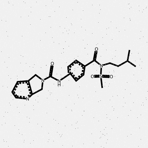 CC(C)CCN(C(=O)c1ccc(NC(=O)N2Cc3cccnc3C2)cc1)S(C)(=O)=O